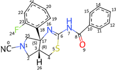 N#CN1C[C@H]2CSC(NC(=O)c3ccccc3)=N[C@@]2(c2ccccc2F)C1